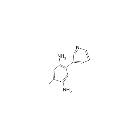 Cc1cc(N)c(-c2cccnc2)cc1N